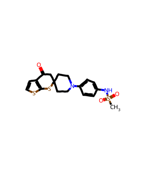 CS(=O)(=O)Nc1ccc(N2CCC3(CC2)CC(=O)c2ccsc2S3)cc1